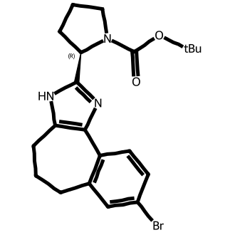 CC(C)(C)OC(=O)N1CCC[C@@H]1c1nc2c([nH]1)CCCc1cc(Br)ccc1-2